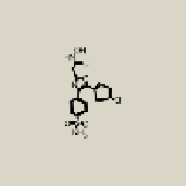 NS(=O)(=O)c1ccc(-c2nc(CC(=O)NO)oc2-c2ccc(Cl)cc2)cc1